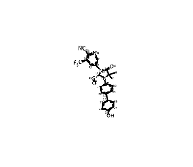 CC1(C)C(=O)N(c2cnc(C#N)c(C(F)(F)F)c2)C([S+]=O)N1c1ccc(-c2ccc(O)cc2)cc1